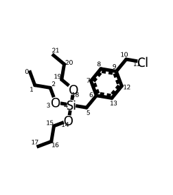 CCCO[Si](Cc1ccc(CCl)cc1)(OCCC)OCCC